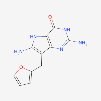 Nc1nc2c(Cc3ccco3)c(N)[nH]c2c(=O)[nH]1